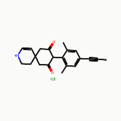 CC#Cc1cc(C)c(C2C(=O)CC3(C=CNCC3)CC2=O)c(C)c1.Cl